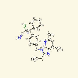 CCc1nc2c(C)cc(C)nc2n1Cc1ccc(/C(=C(/Cl)C#N)c2ccccc2)cc1